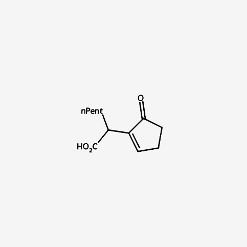 CCCCCC(C(=O)O)C1=CCCC1=O